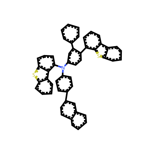 c1ccc(-c2cc(N(c3ccc(-c4ccc5ccccc5c4)cc3)c3cccc4sc5ccccc5c34)ccc2-c2cccc3c2sc2ccccc23)cc1